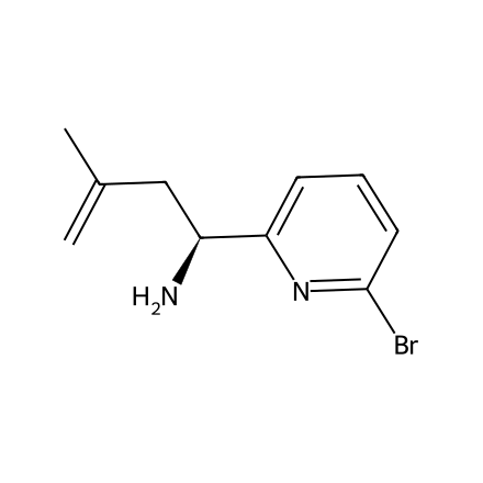 C=C(C)C[C@H](N)c1cccc(Br)n1